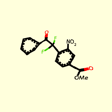 COC(=O)c1ccc(C(F)(F)C(=O)c2ccccc2)c([N+](=O)[O-])c1